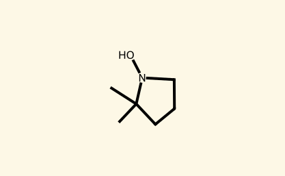 CC1(C)CCCN1O